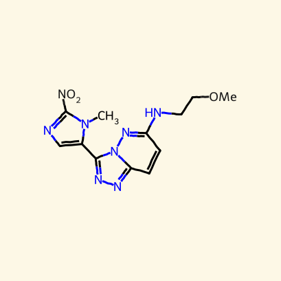 COCCNc1ccc2nnc(-c3cnc([N+](=O)[O-])n3C)n2n1